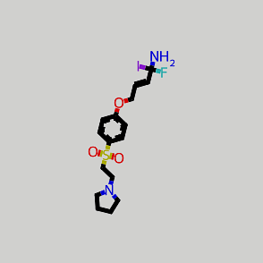 NC(F)(I)C=CCOc1ccc(S(=O)(=O)CCN2CCCC2)cc1